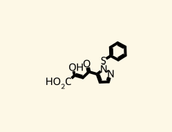 O=C(O)C(O)=CC(=O)c1ccnn1Sc1ccccc1